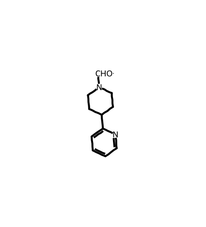 O=[C]N1CCC(c2ccccn2)CC1